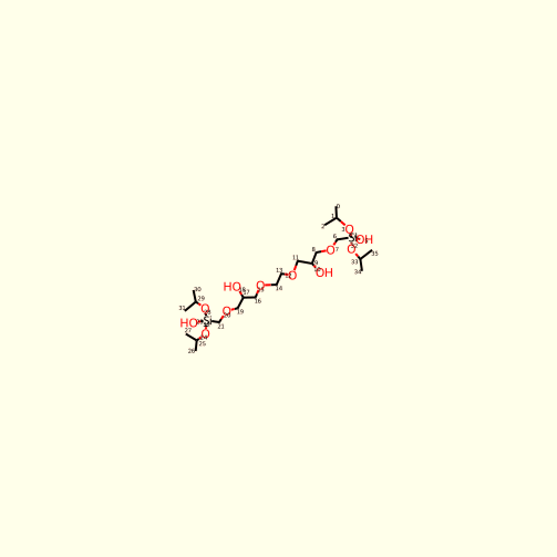 CC(C)O[Si](O)(COCC(O)COCCOCC(O)COC[Si](O)(OC(C)C)OC(C)C)OC(C)C